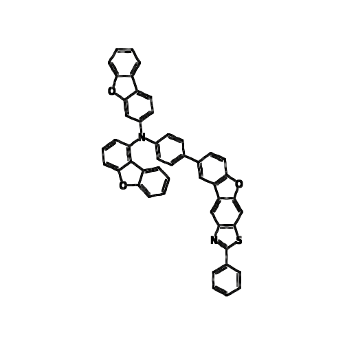 c1ccc(-c2nc3cc4c(cc3s2)oc2ccc(-c3ccc(N(c5ccc6c(c5)oc5ccccc56)c5cccc6oc7ccccc7c56)cc3)cc24)cc1